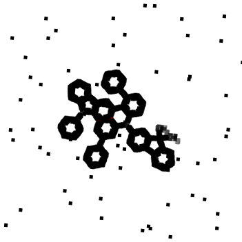 CC1(C)c2ccccc2-c2ccc(N(c3cccc(-c4ccccc4)c3)c3cccc(-c4ccccc4)c3-c3ccc4c(c3)c3ccccc3n4-c3ccccc3)cc21